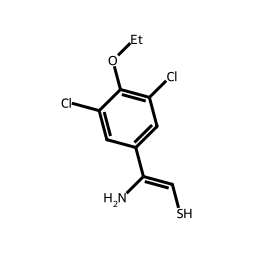 CCOc1c(Cl)cc(/C(N)=C/S)cc1Cl